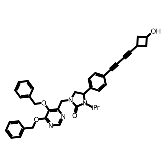 CC(C)N1C(=O)N(Cc2ncnc(OCc3ccccc3)c2OCc2ccccc2)CC1c1ccc(C#CC#CC2CC(O)C2)cc1